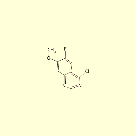 COc1cc2ncnc(Cl)c2cc1F